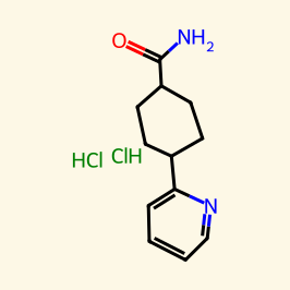 Cl.Cl.NC(=O)C1CCC(c2ccccn2)CC1